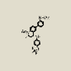 CC(=O)Nc1cccc(-c2ccc3c(c2)[C@H](Nc2ccc(OC(C)(F)F)cc2)C[C@H](C)N3C(C)=O)c1